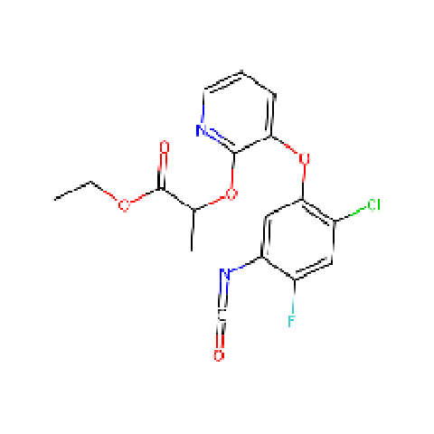 CCOC(=O)C(C)Oc1ncccc1Oc1cc(N=C=O)c(F)cc1Cl